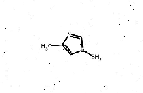 BB1C=NC(C)=C1